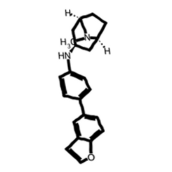 CN1[C@@H]2CC[C@H]1C[C@@H](Nc1ccc(-c3ccc4occc4c3)cc1)C2